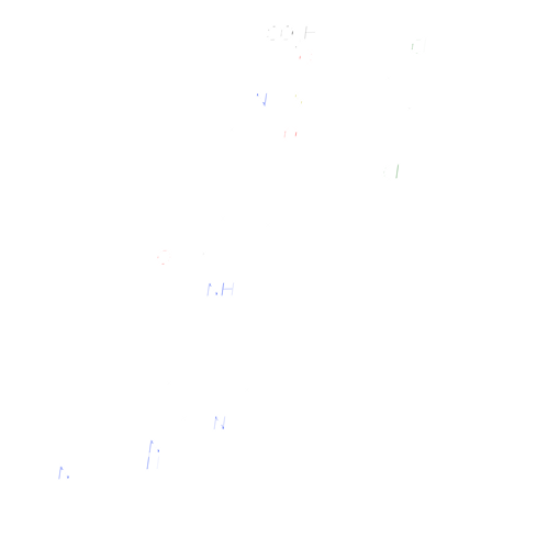 CN(C)CCNc1cc(CNC(=O)c2cccc3c(N(CC(=O)O)S(=O)(=O)c4cc(Cl)cc(Cl)c4)cccc23)ccn1